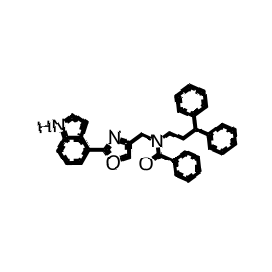 O=C(c1ccccc1)N(CCC(c1ccccc1)c1ccccc1)Cc1coc(-c2cccc3[nH]ccc23)n1